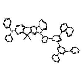 CC1(C)c2cc(N(c3ccccc3)c3ccccc3)ccc2-c2cc3c(cc21)N(c1cccc(-c2cc(-c4cc(-c5ccccc5)cc(-c5ccccc5)c4)cc(-c4cccc5ccccc45)c2)c1)C1=CC=CCC13